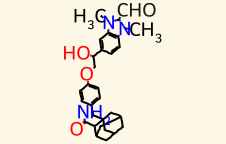 CN1c2ccc(C(O)COc3ccc(CC45CC6CC(CC(C6)C4C(N)=O)C5)cc3)cc2N(C)C1C=O